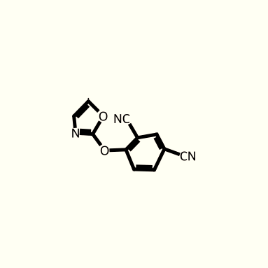 N#Cc1ccc(Oc2nc[c]o2)c(C#N)c1